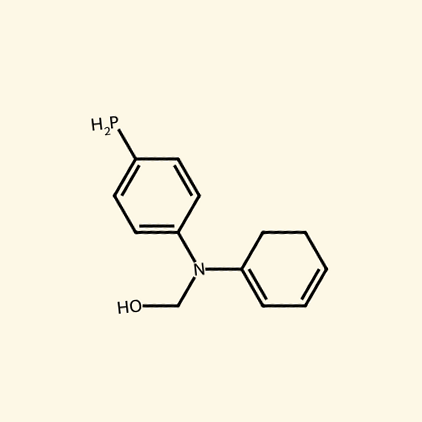 OCN(C1=CC=CCC1)c1ccc(P)cc1